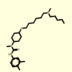 CCCCCN(C)CCCCCCOC1CCC(N(C)C(=O)Nc2ccc(C)c(C)c2)CC1